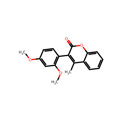 COc1ccc(-c2c(C)c3ccccc3oc2=O)c(OC)c1